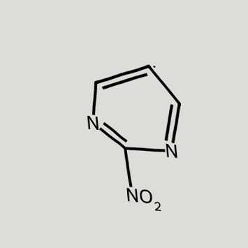 O=[N+]([O-])c1nc[c]cn1